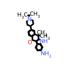 CC(C)N1CCC(c2ccc3c(c2)C(C)(C)c2[nH]c4cc(N)ccc4c2C3=O)CC1